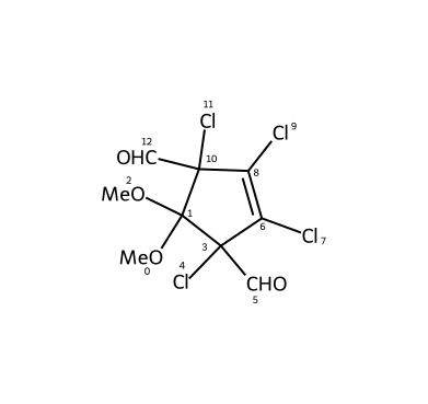 COC1(OC)C(Cl)(C=O)C(Cl)=C(Cl)C1(Cl)C=O